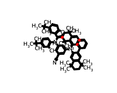 Cc1cc(C(C)(C)C)ccc1N(c1cc(C#N)cc(N(c2cc3c(cc2-c2ccccc2)C(C)(C)CCC3(C)C)c2cccc3c2C(C)(C)CCC3(C)C)c1)c1coc2ccc(C(C)(C)C)cc12